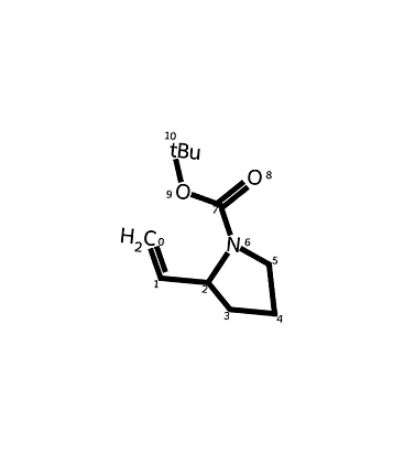 C=CC1CCCN1C(=O)OC(C)(C)C